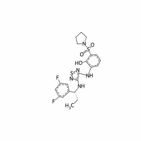 CC[C@@H](Nc1nsnc1Nc1cccc(S(=O)(=O)N2CCCC2)c1O)c1cc(F)cc(F)c1